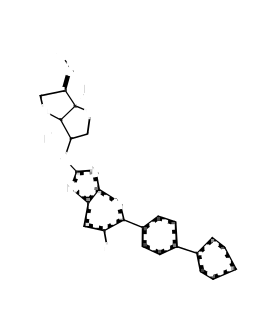 O/N=C1\CO[C@@H]2C(Oc3nc4nc(-c5ccc(-c6ccccc6)cc5)c(Cl)cc4[nH]3)CO[C@H]12